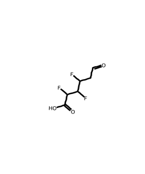 O=CCC(F)C(F)C(F)C(=O)O